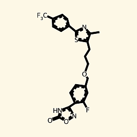 Cc1nc(-c2ccc(C(F)(F)F)cc2)sc1CCCOCc1ccc(-c2noc(=O)[nH]2)c(F)c1